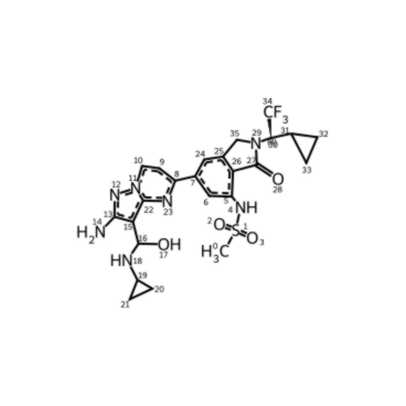 CS(=O)(=O)Nc1cc(-c2ccn3nc(N)c(C(O)NC4CC4)c3n2)cc2c1C(=O)N([C@H](C1CC1)C(F)(F)F)C2